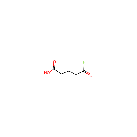 O=C(O)CCCC(=O)F